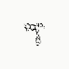 O=[N+]([O-])c1cc2cncnc2cc1OCCN1CCOCC1